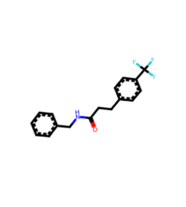 O=C(CCc1ccc(C(F)(F)F)cc1)NCc1ccccc1